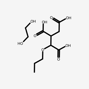 CCCOC(C(=O)O)C(CC(=O)O)C(=O)O.OCCO